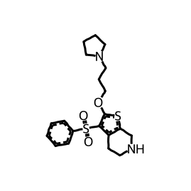 O=S(=O)(c1ccccc1)c1c(OCCCN2CCCC2)sc2c1CCNC2